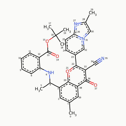 Cc1cc(C(C)Nc2ccccc2C(=O)OC(C)(C)C)c2oc(-c3ccc4nc(C)cn4c3)c(C#N)c(=O)c2c1